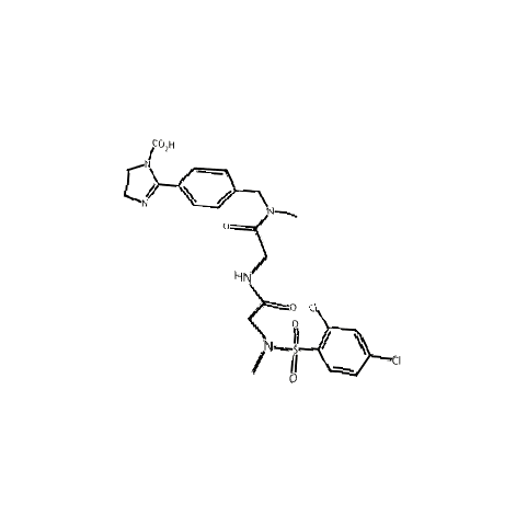 CN(Cc1ccc(C2=NCCN2C(=O)O)cc1)C(=O)CNC(=O)CN(C)S(=O)(=O)c1ccc(Cl)cc1Cl